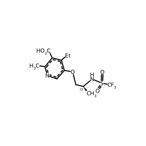 CCc1c(OC[C@H](C)NS(=O)(=O)C(F)(F)F)cnc(C)c1C(=O)O